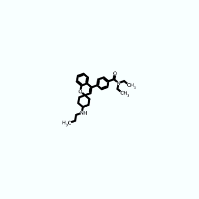 CCCNC1CCC2(C=C(c3ccc(C(=O)N(CC)CC)cc3)c3ccccc3O2)CC1